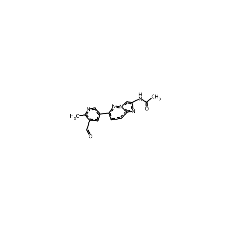 CC(=O)Nc1cn2nc(-c3cnc(C)c(C=O)c3)ccc2n1